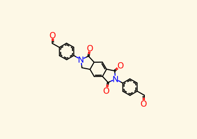 O=Cc1ccc(N2CC3C=C4C(=O)N(c5ccc(C=O)cc5)C(=O)C4=CC3C2=O)cc1